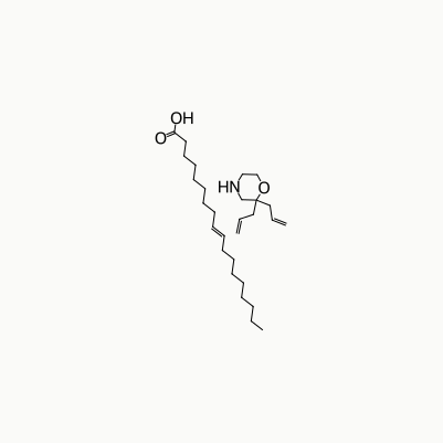 C=CCC1(CC=C)CNCCO1.CCCCCCCCC=CCCCCCCCC(=O)O